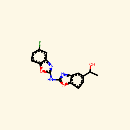 CC(O)c1ccc2oc(Nc3nc4cc(F)ccc4o3)nc2c1